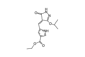 CCOC(=O)c1c[nH]c(C=C2C(=O)NN=C2OC(C)C)c1